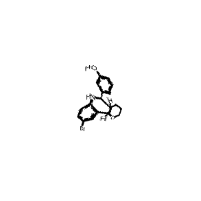 Oc1cccc([C@@H]2Nc3ccc(Br)cc3[C@H]3OCCC[C@H]32)c1